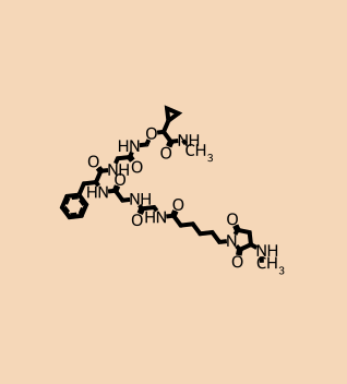 CNC(=O)C(OCNC(=O)CNC(=O)C(Cc1ccccc1)NC(=O)CNC(=O)CNC(=O)CCCCCN1C(=O)CC(NC)C1=O)C1CC1